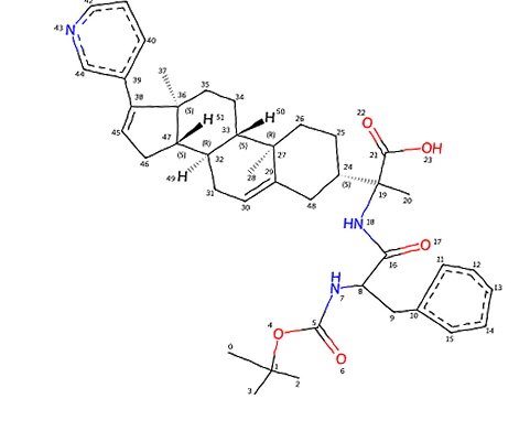 CC(C)(C)OC(=O)NC(Cc1ccccc1)C(=O)NC(C)(C(=O)O)[C@H]1CC[C@@]2(C)C(=CC[C@@H]3[C@@H]2CC[C@]2(C)C(c4cccnc4)=CC[C@@H]32)C1